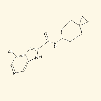 O=C(NC1CCC2(CC1)CC2)c1cc2c(Cl)cncc2[nH]1